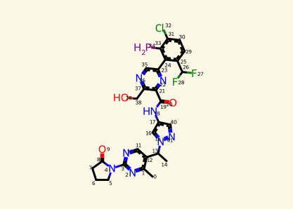 Cc1nc(N2CCCC2=O)ncc1C(C)n1cc(NC(=O)c2nc(-c3c(C(F)F)ccc(Cl)c3P)cnc2CO)cn1